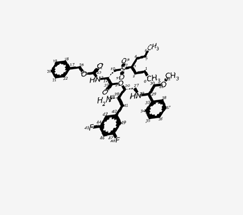 CCCC(CCC)S(=O)(=O)C[C@@H](NC(=O)OCc1ccccc1)C(=O)O[C@H](CNC(COC)c1ccccc1)[C@@H](N)Cc1cc(F)cc(F)c1